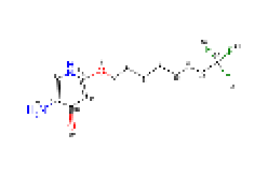 Nc1c[nH]c(OCCCCCCCC(F)(F)F)cc1=O